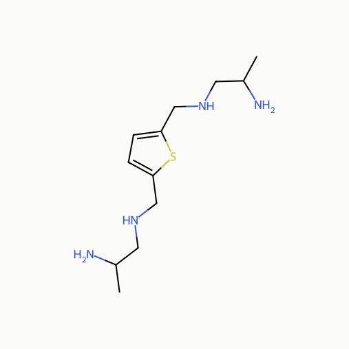 CC(N)CNCc1ccc(CNCC(C)N)s1